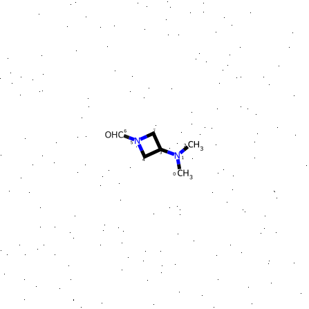 CN(C)C1CN(C=O)C1